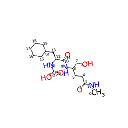 CNC(=O)CCC(CO)NC(=O)[C@H](CC1CCCCC1)NC(=O)O